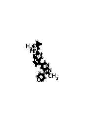 Cc1nc2ncc(-c3ccn4nc(NCC5(C)CC5)ncc34)cc2n1C1CCOCC1